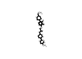 C=CC1CCC(c2ccc(OCC(F)CC3CCC(C4CCC(C)CO4)CC3)c(F)c2F)CC1